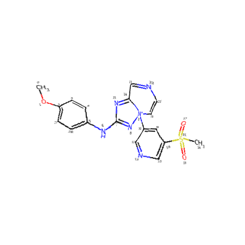 COc1ccc(NC2=N[N+]3(c4cncc(S(C)(=O)=O)c4)C=CN=CC3=N2)cc1